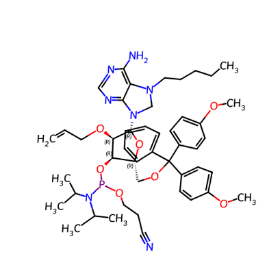 C=CCO[C@@H]1[C@H](OP(OCCC#N)N(C(C)C)C(C)C)[C@@H](COC(c2ccccc2)(c2ccc(OC)cc2)c2ccc(OC)cc2)O[C@H]1N1CN(CCCCC)c2c(N)ncnc21